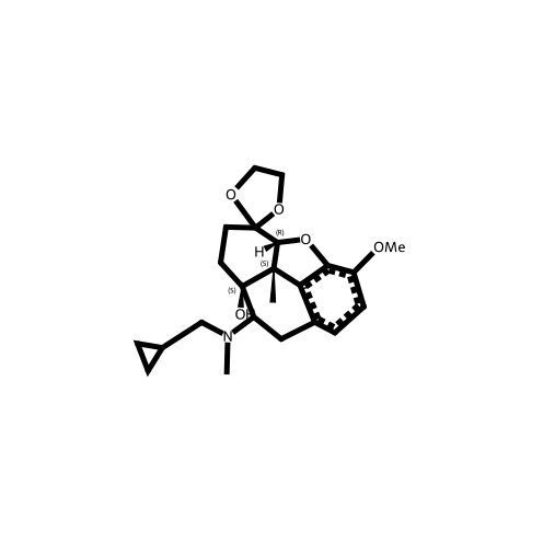 COc1ccc2c3c1O[C@H]1C4(CC[C@@](O)(C(N(C)CC5CC5)C2)[C@@]31C)OCCO4